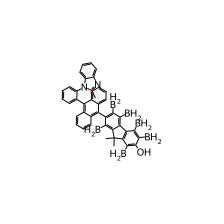 Bc1c(B)c2c(c(B)c1O)C(C)(C)c1c(B)c(-c3c4ccccc4c(-c4ccccc4-n4c(C)nc5ccccc54)c4ccccc34)c(B)c(B)c1-2